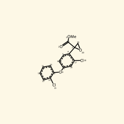 COC(=O)C1(c2ccc(Oc3ccccc3Cl)cc2Cl)CO1